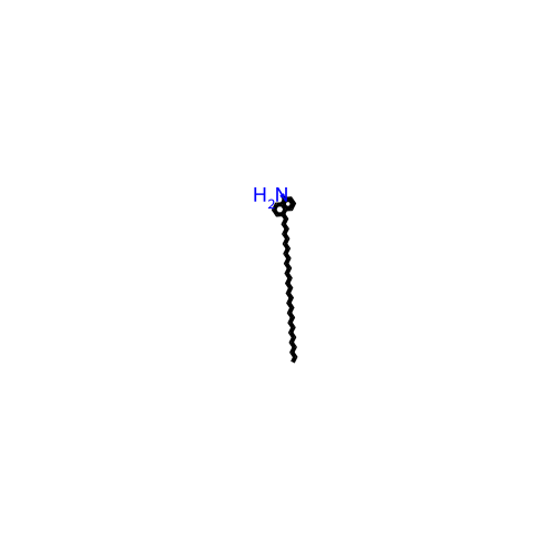 CCCCCCCCCCCCCCCCCCCCCCCCCCCCCCC1CCCc2c(N)cccc21